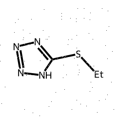 [CH2]CSc1nnn[nH]1